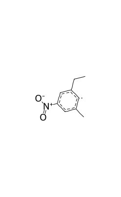 CCc1[c]c(C)cc([N+](=O)[O-])c1